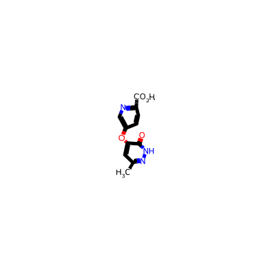 Cc1cc(Oc2ccc(C(=O)O)nc2)c(=O)[nH]n1